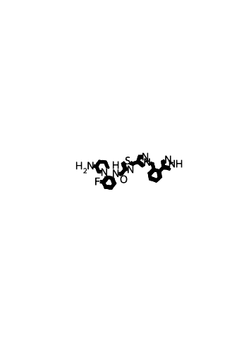 NC1CCCN(c2c(F)cccc2NC(=O)c2csc(-c3cnn(Cc4ccccc4-c4cn[nH]c4)c3)n2)C1